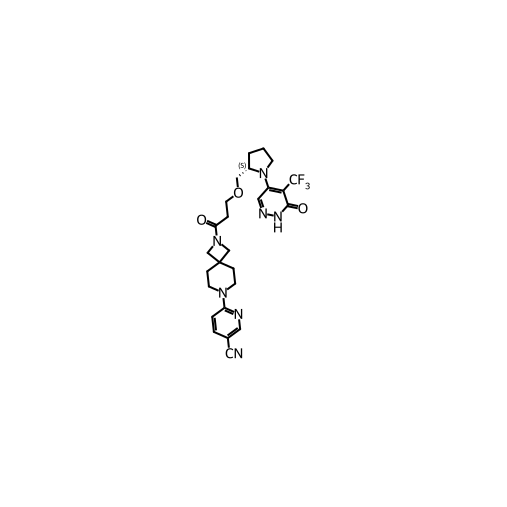 N#Cc1ccc(N2CCC3(CC2)CN(C(=O)CCOC[C@@H]2CCCN2c2cn[nH]c(=O)c2C(F)(F)F)C3)nc1